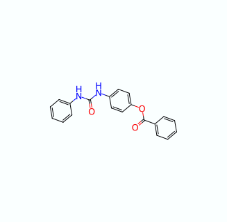 O=C(Nc1ccccc1)Nc1ccc(OC(=O)c2ccccc2)cc1